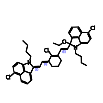 CCCCN1c2ccc(Cl)c3cccc(c23)C1(/C=C/C1=C(Cl)C(=C/C=c2/c3cccc4c(Cl)ccc(c43)n2CCCC)/CCC1)OCC